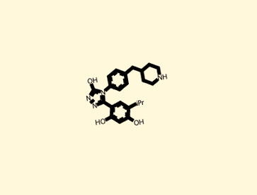 CC(C)c1cc(-c2nnc(O)n2-c2ccc(CC3CCNCC3)cc2)c(O)cc1O